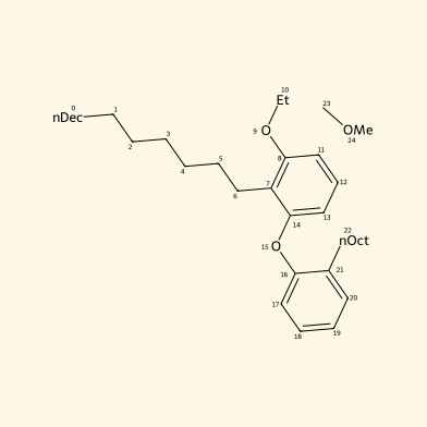 CCCCCCCCCCCCCCCCc1c(OCC)cccc1Oc1ccccc1CCCCCCCC.COC